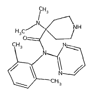 Cc1cccc(C)c1N(C(=O)C1(N(C)C)CCNCC1)c1ncccn1